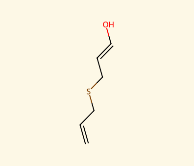 C=CCSCC=CO